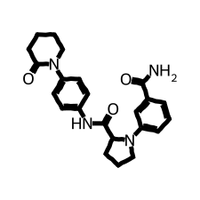 NC(=O)c1cccc(N2CCCC2C(=O)Nc2ccc(N3CCCCC3=O)cc2)c1